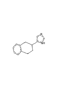 c1ccc2c(c1)CCC(c1cnc[nH]1)C2